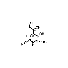 [N-]=[N+]=NN[C@@H](C=O)[C@@H](O)[C@@H](O)[C@H](O)CO